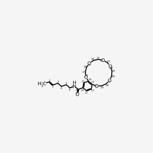 C/C=C/CCCCNC(=O)c1ccc2c(c1)OCCOCCOCOCCOCCO2